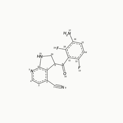 N#Cc1ccnc2c1C(C(=O)c1c(F)ccc(N)c1F)CN2